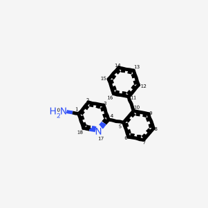 Nc1ccc(-c2ccccc2-c2ccccc2)nc1